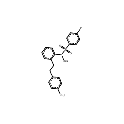 CCCCN(c1ccccc1CCc1ccc(C(=O)O)cc1)S(=O)(=O)c1ccc(Cl)cc1